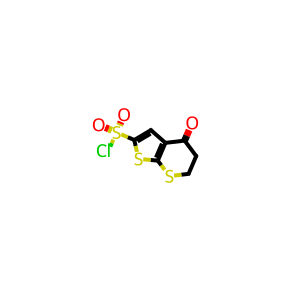 O=C1CCSc2sc(S(=O)(=O)Cl)cc21